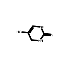 OC1=CNC(=S)NC1